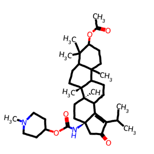 CC(=O)OC1CCC2(C)C(CC[C@]3(C)C2CCC2C4=C(C(C)C)C(=O)C[C@]4(NC(=O)OC4CCN(C)CC4)CC[C@]23C)C1(C)C